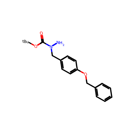 CC(C)(C)OC(=O)N(N)Cc1ccc(OCc2ccccc2)cc1